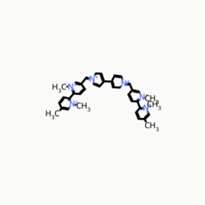 Cc1ccc(-c2ccc(C=[N+]3C=CC(C4=CC[N+](=Cc5ccc(-c6ccc(C)c[n+]6C)[n+](C)c5)C=C4)=CC3)c[n+]2C)[n+](C)c1